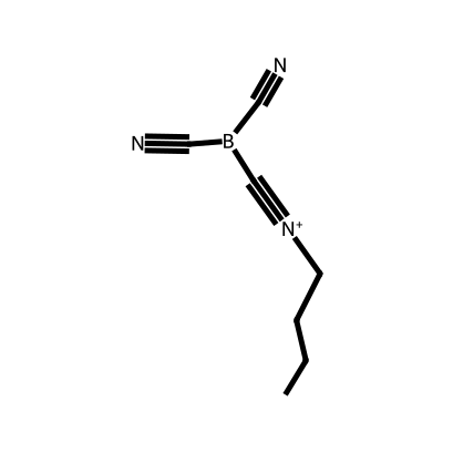 CCCC[N+]#CB(C#N)C#N